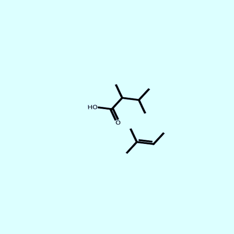 CC(C)C(C)C(=O)O.CC=C(C)C